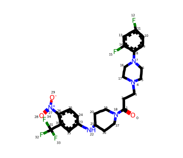 O=C(CCN1CCN(c2ccc(F)cc2F)CC1)N1CCC(Nc2ccc([N+](=O)[O-])c(C(F)(F)F)c2)CC1